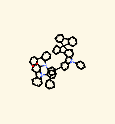 c1ccc(-c2cc(-c3ccc4c(c3)c3c5c(ccc3n4-c3ccccc3)C3(c4ccccc4-c4ccccc43)c3ccccc3-5)cc(N(c3ccccc3-c3ccccc3)c3cccc4c5ccccc5n(-c5ccccc5)c34)c2)cc1